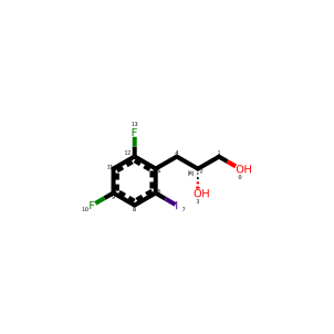 OC[C@H](O)Cc1c(I)[c]c(F)cc1F